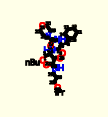 CCCCOCC(NC(=O)[C@H](CC1CCCCC1)NC(=O)N1CCOCC1)C(=O)C(=O)NCCCOC(C)C